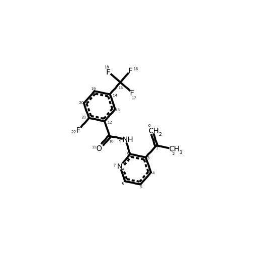 C=C(C)c1cccnc1NC(=O)c1cc(C(F)(F)F)ccc1F